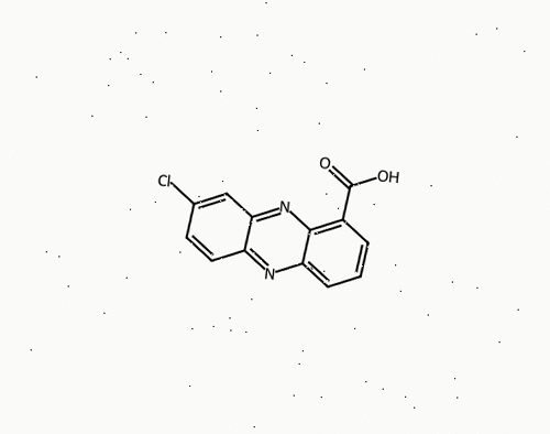 O=C(O)c1cccc2nc3ccc(Cl)cc3nc12